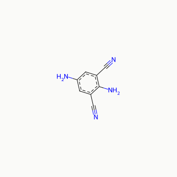 N#Cc1cc(N)cc(C#N)c1N